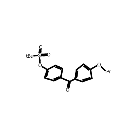 CC(C)Oc1ccc(C(=O)c2ccc(OS(=O)(=O)C(C)(C)C)cc2)cc1